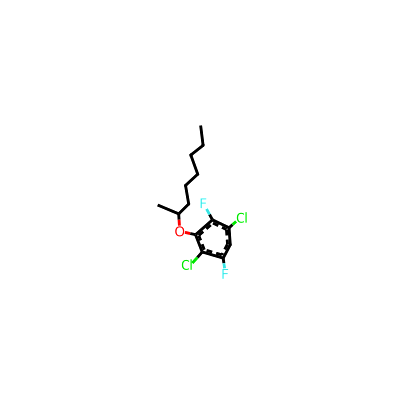 CCCCCCC(C)Oc1c(F)c(Cl)cc(F)c1Cl